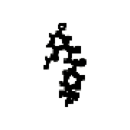 CCSc1ccc(Cl)nc1C(=O)CC(=O)c1ccc(C(F)(F)F)nc1